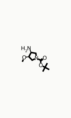 CO[C@@H]1CN(C(=O)OC(C)(C)C)C[C@@H]1N